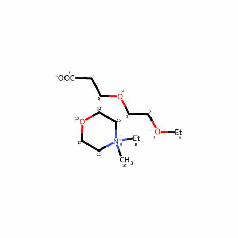 CCOCCOCCC(=O)[O-].CC[N+]1(C)CCOCC1